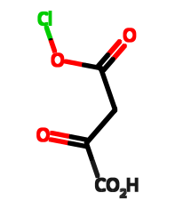 O=C(CC(=O)C(=O)O)OCl